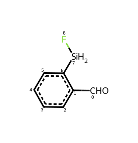 O=Cc1ccccc1[SiH2]F